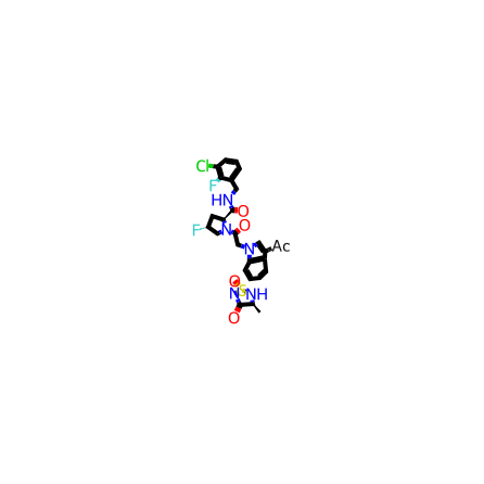 CC(=O)c1cn(CC(=O)N2C[C@H](F)C[C@H]2C(=O)NCc2cccc(Cl)c2F)c2cc([S@]3(=O)=NC(=O)[C@H](C)N3)ccc12